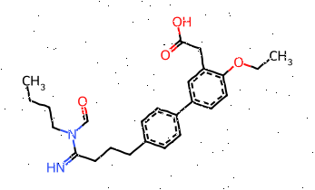 CCCCN(C=O)C(=N)CCCc1ccc(-c2ccc(OCC)c(CC(=O)O)c2)cc1